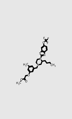 CCCCC1CN(Cc2cc(C)cc(OCC(=O)OC)c2)CCN1c1nc2ccc(OC(F)(F)F)cc2s1